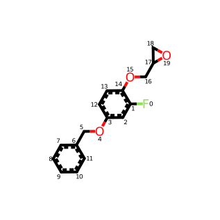 Fc1cc(OCc2ccccc2)ccc1OCC1CO1